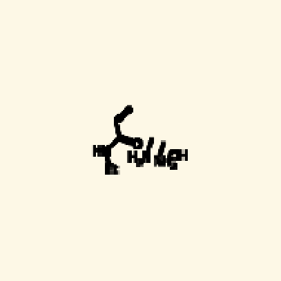 C=CC(=O)NCC.CN.CN.Cl